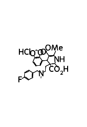 COC(=O)C1=C(C)NC(C)C(CCN(C)Cc2ccc(F)cc2)(C(=O)O)C1c1cccc2c1OCO2.Cl